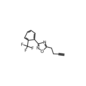 C#CCCc1nc(-c2ccccc2C(F)(F)F)no1